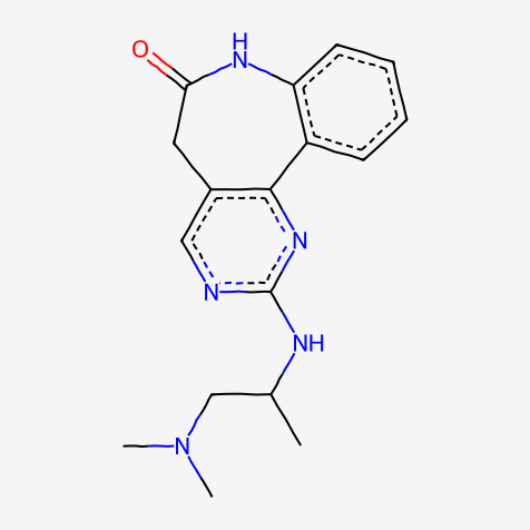 CC(CN(C)C)Nc1ncc2c(n1)-c1ccccc1NC(=O)C2